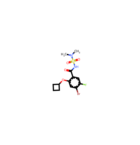 CN(C)S(=O)(=O)NC(=O)c1cc(F)c(Br)cc1OC1CCC1